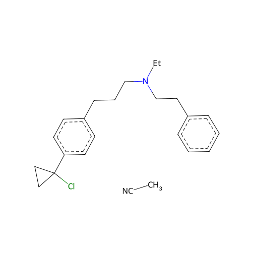 CC#N.CCN(CCCc1ccc(C2(Cl)CC2)cc1)CCc1ccccc1